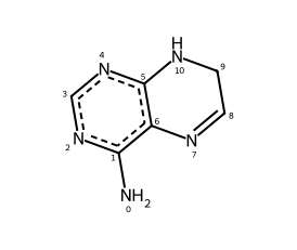 Nc1ncnc2c1N=CCN2